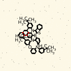 CC(C)(C)c1cccc(N2c3ccc4c(c3)N(c3cc(C(C)(C)C)ccc3Oc3ccccc32)c2cc(-c3ccccc3)cc3c2B4c2sc4ccccc4c2N3c2ccc(C(C)(C)C)cc2-c2ccccc2)c1